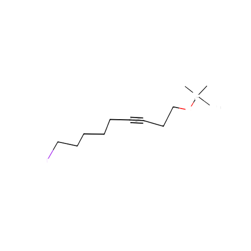 CC(C)(C)[Si](C)(C)OCCC#CCCCCCI